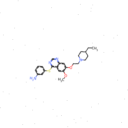 CCC1CCN(CCOc2cc3ncnc(Sc4cccc(N)c4)c3cc2OC)CC1